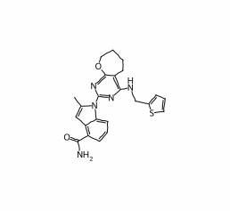 Cc1cc2c(C(N)=O)cccc2n1-c1nc(NCc2cccs2)c2c(n1)OCCCC2